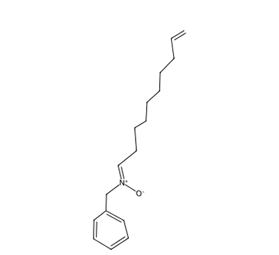 C=CCCCCCCCC=[N+]([O-])Cc1ccccc1